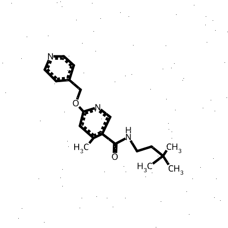 Cc1cc(OCc2ccncc2)ncc1C(=O)NCCC(C)(C)C